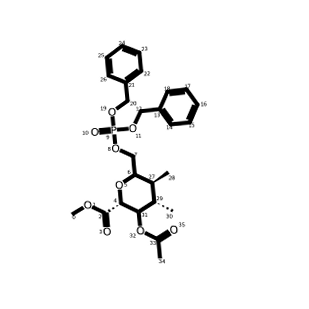 COC(=O)[C@@H]1OC(COP(=O)(OCc2ccccc2)OCc2ccccc2)[C@@H](C)[C@H](C)C1OC(C)=O